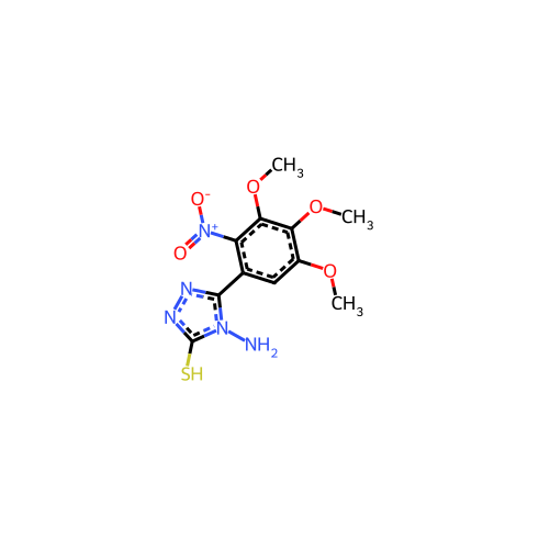 COc1cc(-c2nnc(S)n2N)c([N+](=O)[O-])c(OC)c1OC